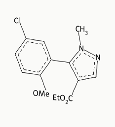 CCOC(=O)c1cnn(C)c1-c1cc(Cl)ccc1OC